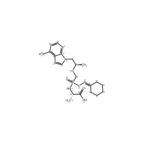 C[C@H](Cn1cnc2c(N)ncnc21)OCP(=O)(N[C@@H](C)C(=O)O)ON=C1CCCCC1